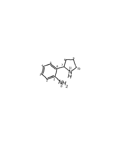 Nc1ccccc1C1CCCN1